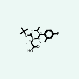 Cc1cc(F)ccc1[C@H](C(C)C)[C@H](C)N(C(=O)OC(C)(C)C)[C@@H](C)C(=O)O